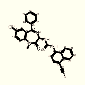 CN1C(=O)C(NC(=S)Nc2ccc(C#N)c3ccccc23)N=C(c2ccccc2)c2cc(Cl)ccc21